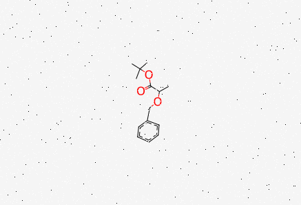 CC(OCc1ccccc1)C(=O)OC(C)(C)C